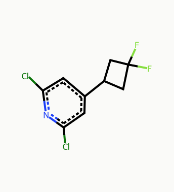 FC1(F)CC(c2cc(Cl)nc(Cl)c2)C1